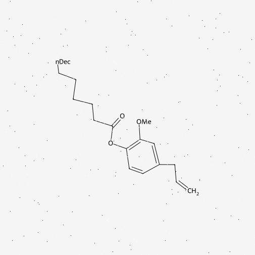 C=CCc1ccc(OC(=O)CCCCCCCCCCCCCCC)c(OC)c1